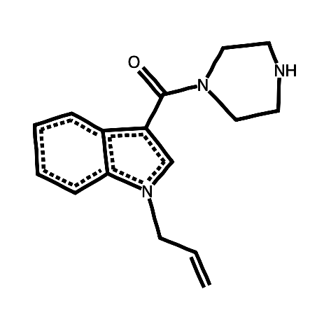 C=CCn1cc(C(=O)N2CCNCC2)c2ccccc21